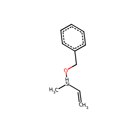 C=C[SiH](C)OCc1ccccc1